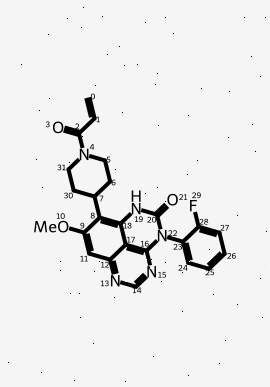 C=CC(=O)N1CCC(c2c(OC)cc3ncnc4c3c2NC(=O)N4c2ccccc2F)CC1